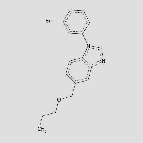 CCCOCc1ccc2c(c1)ncn2-c1cccc(Br)c1